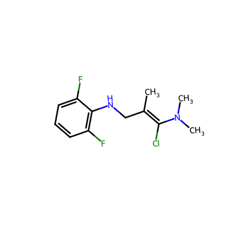 C/C(CNc1c(F)cccc1F)=C(/Cl)N(C)C